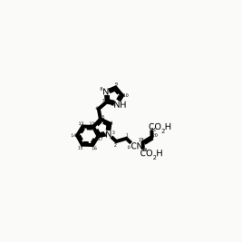 N#CCCn1cc(Cc2ncc[nH]2)c2ccccc21.O=C(O)C=CC(=O)O